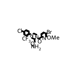 COc1nc(C(=O)N2CCN(c3ccc(Cl)cc3C(F)(F)F)CC2CON)ccc1Br